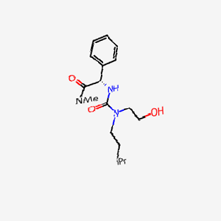 CNC(=O)[C@@H](NC(=O)N(CCO)CCC(C)C)c1ccccc1